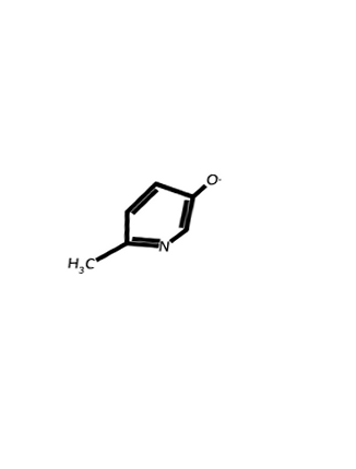 Cc1ccc([O])cn1